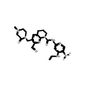 CCNc1cc(NC(=O)N2CCCc3cc(CN4CCN(C)CC4=O)c(C=O)nc32)ncc1[N+](=O)[O-]